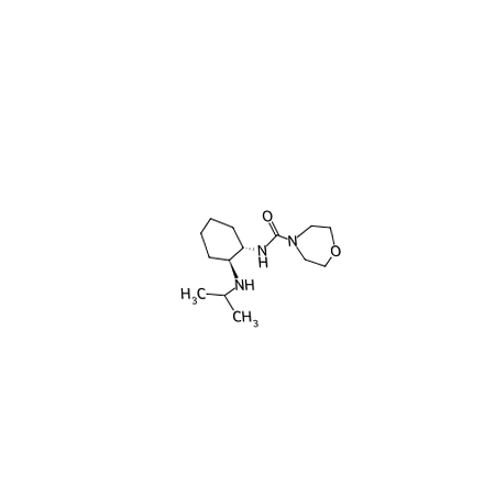 CC(C)N[C@H]1CCCC[C@@H]1NC(=O)N1CCOCC1